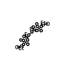 CCC1(COc2ccc(C3(c4ccc5ccccc5c4)c4ccccc4-c4ccc(N(c5ccc(-c6ccc(N(c7ccc8c(c7)C(c7ccc(OCC9(CC)COC9)cc7)(c7ccc9ccccc9c7)c7ccccc7-8)c7ccccc7F)cc6)cc5)c5ccccc5F)cc43)cc2)COC1